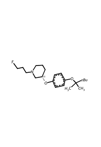 CCCCC(C)(C)Oc1ccc(O[C@H]2CCCN(CCCF)C2)cc1